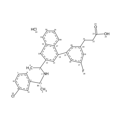 CC(N[C@H](C)c1cccc(Cl)c1)c1cc(-c2cc(F)cc(CCC(=O)O)c2)c2ccccc2c1.Cl